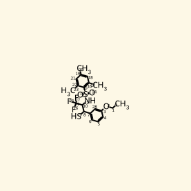 CCOc1cccc(C(S)C(NS(=O)(=O)c2c(C)cc(C)cc2C)C(F)(F)F)c1